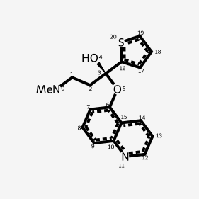 CNCC[C@@](O)(Oc1cccc2ncccc12)c1cccs1